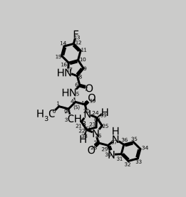 CC[C@H](C)[C@H](NC(=O)c1cc2cc(F)ccc2[nH]1)C(=O)N1C[C@@H]2C[C@H]1CN2C(=O)c1nc2ccccc2[nH]1